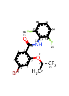 C[C@H](Oc1cc(Br)ccc1C(=O)Nc1c(F)cccc1F)C(F)(F)F